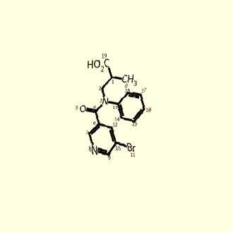 CC(CN(C(=O)c1cncc(Br)c1)c1ccccc1)C(=O)O